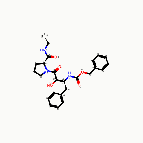 CC[C@H](C)CNC(=O)[C@@H]1CCCN1C(=O)C(O)[C@H](Cc1ccccc1)NC(=O)OCc1ccccc1